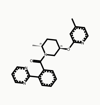 Cc1ccnc(O[C@@H]2CC[C@@H](C)N(C(=O)c3ccccc3-c3ncccn3)C2)c1